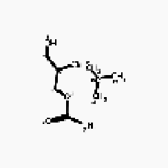 CC(=O)OCC(Cl)CO.CN(C)C